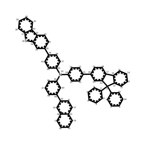 c1ccc(C2(c3ccccc3)c3ccccc3-c3ccc(-c4ccc(N(c5ccc(-c6ccc7c(c6)sc6ccccc67)cc5)c5cccc(-c6ccc7ccccc7c6)c5)cc4)cc32)cc1